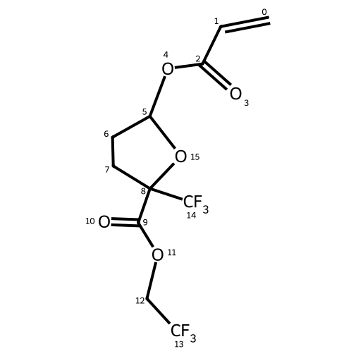 C=CC(=O)OC1CCC(C(=O)OCC(F)(F)F)(C(F)(F)F)O1